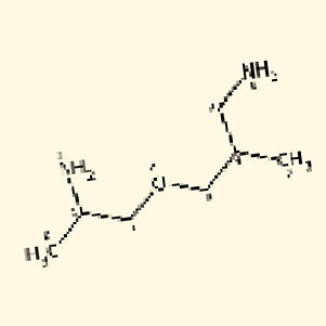 CC(N)COCC(C)CN